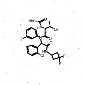 COC(=O)N[C@H](C(=O)N(c1cccc(F)c1)C(C(=O)NC1CC(F)(F)C1)c1ccccc1Cl)[C@@H](C)O